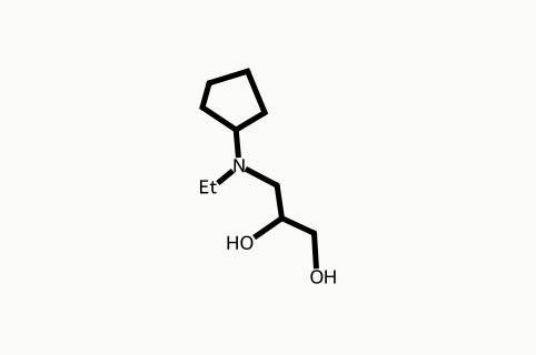 CCN(CC(O)CO)C1CCCC1